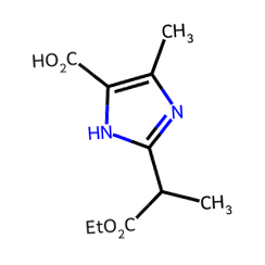 CCOC(=O)C(C)c1nc(C)c(C(=O)O)[nH]1